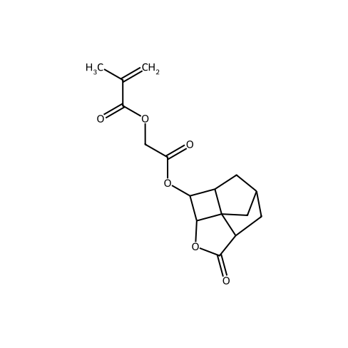 C=C(C)C(=O)OCC(=O)OC1C2CC3CC4C(=O)OC1C42C3